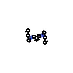 Cc1ccccc1-c1ccc2c3ccccc3n(-c3ccc4c(c3)C(C)(C)C(C)(C)c3cc(-n5c6c(c7ccccc75)CCC(C5=CC=CCC5C)=C6)ccc3-4)c2c1